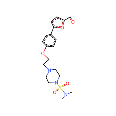 CN(C)S(=O)(=O)N1CCN(CCOc2ccc(-c3ccc(C=O)o3)cc2)CC1